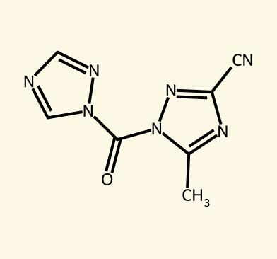 Cc1nc(C#N)nn1C(=O)n1cncn1